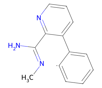 CN=C(N)c1ncccc1-c1[c]cccc1